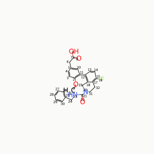 COc1ccc(CC(=O)O)cc1-c1ccc(F)c2c1CN(C(=O)NCc1ccccc1)CC2